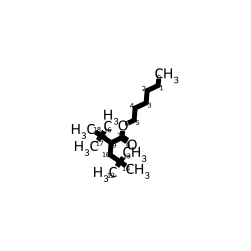 CCCCCCOC(=O)C(CC(C)(C)C)C(C)(C)C